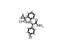 NC(=O)C(Nc1ccccc1C1(C=O)CC1)c1ccc(Cl)cc1